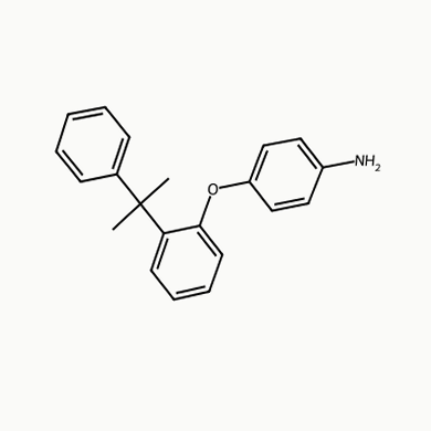 CC(C)(c1ccccc1)c1ccccc1Oc1ccc(N)cc1